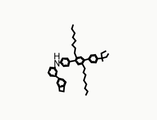 CCCCCCCCc1cc(-c2ccc(C(C)(CC)CC)cc2)c(CCCCCCCC)cc1-c1ccc(Nc2cccc(-c3ccc4c(c3)CC4)c2)cc1